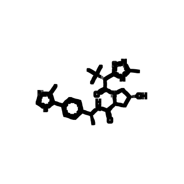 Cc1nsc([C@H](C(=O)N2C[C@H](O)C[C@H]2C(=O)N[C@@H](C)c2ccc(-c3scnc3C)cc2)C(C)(C)C)n1